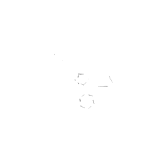 O=C(O)CCc1nc(-c2ccccc2)c(C2C=CC=CC2)o1